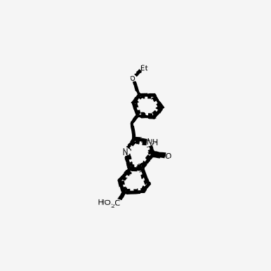 CCOc1cccc(Cc2nc3cc(C(=O)O)ccc3c(=O)[nH]2)c1